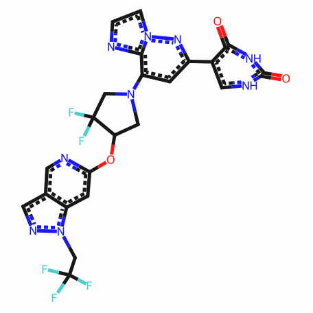 O=c1[nH]cc(-c2cc(N3CC(Oc4cc5c(cn4)cnn5CC(F)(F)F)C(F)(F)C3)c3nccn3n2)c(=O)[nH]1